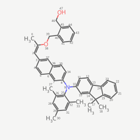 CC(=Cc1ccc2cc(N(c3ccc4c(c3)C(C)(C)c3ccccc3-4)c3c(C)cc(C)cc3C)ccc2c1)OCc1ccccc1CO